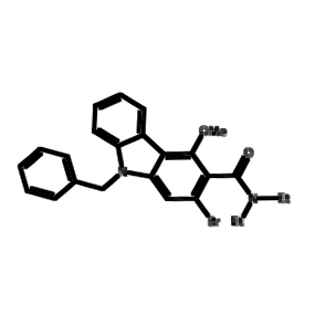 CCN(CC)C(=O)c1c(Br)cc2c(c1OC)c1ccccc1n2Cc1ccccc1